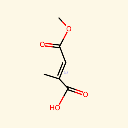 COC(=O)/C=C(\C)C(=O)O